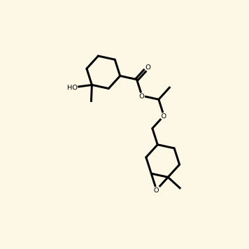 CC(OCC1CCC2(C)OC2C1)OC(=O)C1CCCC(C)(O)C1